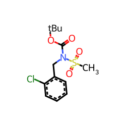 CC(C)(C)OC(=O)N(Cc1ccccc1Cl)S(C)(=O)=O